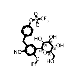 CC(C)Oc1cc(C#N)c(Cc2ccc(OS(=O)(=O)C(F)(F)F)cc2)cc1[C@@H]1O[C@H](CO)[C@@H](O)[C@H](O)[C@H]1O